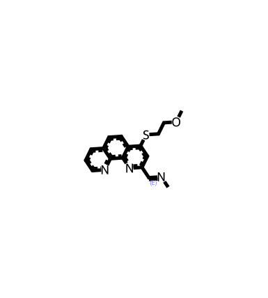 C/N=C/c1cc(SCCOC)c2ccc3cccnc3c2n1